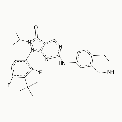 CC(C)n1c(=O)c2cnc(Nc3ccc4c(c3)CNCC4)nc2n1-c1ccc(F)c(C(C)(C)C)c1F